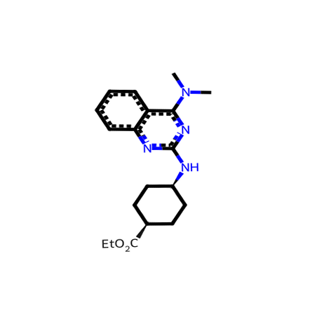 CCOC(=O)[C@H]1CC[C@@H](Nc2nc(N(C)C)c3ccccc3n2)CC1